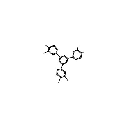 Cc1ccc(-c2cc(-c3ccc(C)c(C)c3)cc(-c3ccc(C)c(C)c3)c2)cc1C